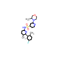 Cc1ccc(F)cc1-c1nc(NS(=O)(=O)c2ccnc(N3CCOCC3C)c2)ccc1C(F)(F)F